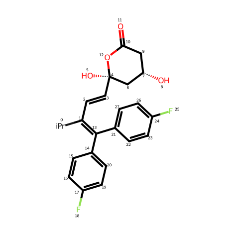 CC(C)C(/C=C/[C@]1(O)C[C@@H](O)CC(=O)O1)=C(c1ccc(F)cc1)c1ccc(F)cc1